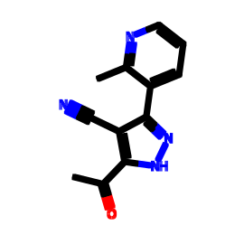 CC(=O)c1[nH]nc(-c2cccnc2C)c1C#N